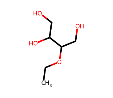 CCOC(CO)C(O)CO